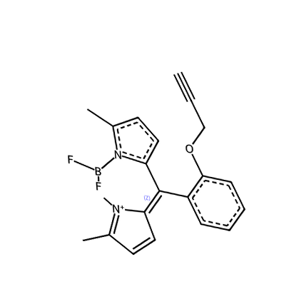 C#CCOc1ccccc1/C(=C1\C=CC(C)=[N+]1C)c1ccc(C)n1B(F)F